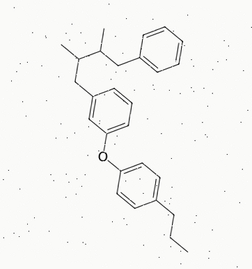 CCCc1ccc(Oc2cccc(CC(C)C(C)Cc3ccccc3)c2)cc1